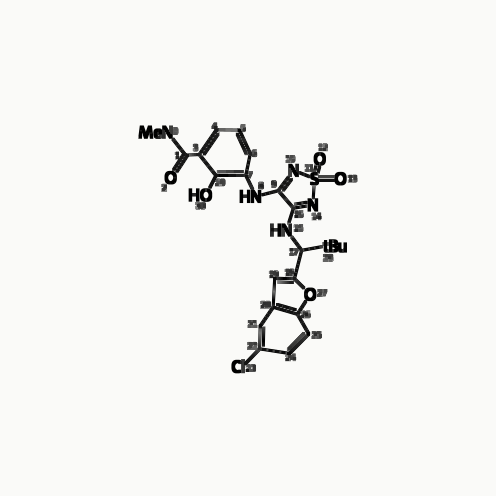 CNC(=O)c1cccc(NC2=NS(=O)(=O)N=C2NC(c2cc3cc(Cl)ccc3o2)C(C)(C)C)c1O